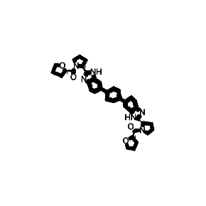 O=C([C@H]1CCCO1)N1CCC[C@H]1c1nc2ccc(-c3ccc(-c4ccc5nc([C@@H]6CCCN6C(=O)[C@H]6CCCO6)[nH]c5c4)cc3)cc2[nH]1